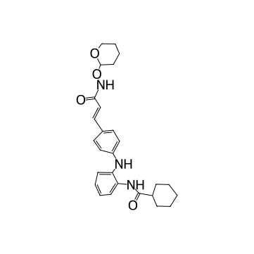 O=C(C=Cc1ccc(Nc2ccccc2NC(=O)C2CCCCC2)cc1)NOC1CCCCO1